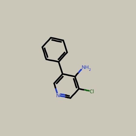 Nc1c(Cl)cncc1-c1ccccc1